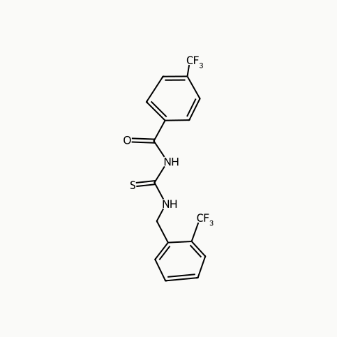 O=C(NC(=S)NCc1ccccc1C(F)(F)F)c1ccc(C(F)(F)F)cc1